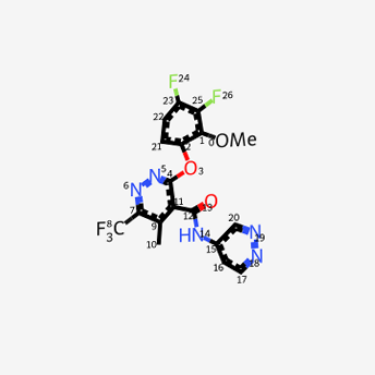 COc1c(Oc2nnc(C(F)(F)F)c(C)c2C(=O)Nc2ccnnc2)ccc(F)c1F